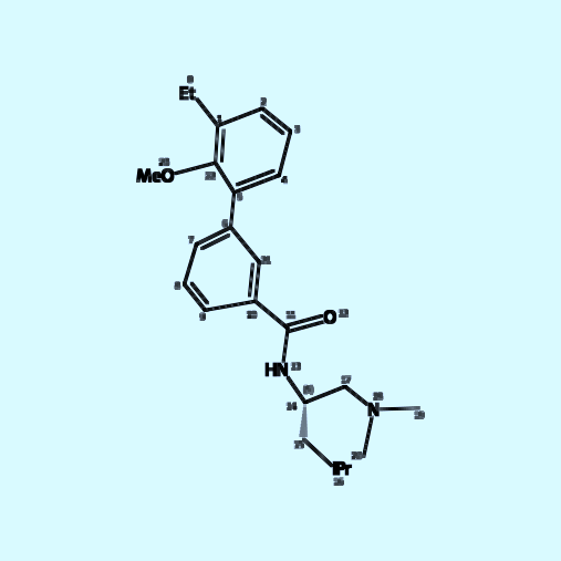 CCc1cccc(-c2cccc(C(=O)N[C@@H](CC(C)C)CN(C)C)c2)c1OC